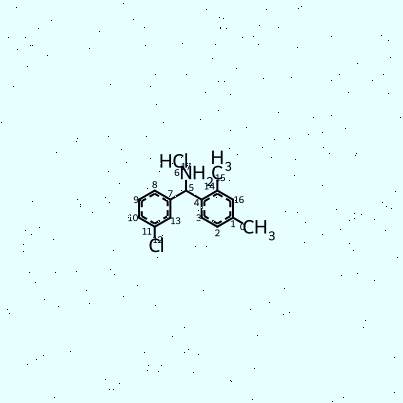 Cc1ccc(C(N)c2cccc(Cl)c2)c(C)c1.Cl